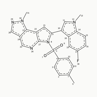 Cc1ccc(S(=O)(=O)n2c(-c3cn(C)c4ccc(F)cc34)cc3c4c(cnc32)cnn4C)cc1